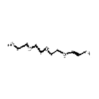 CC=COCCOCCOCCO